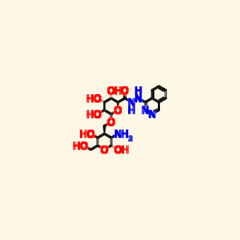 NC1[C@H](O)OC(CO)[C@@H](O)[C@H]1CO[C@@H]1OC(C(=O)NNc2nncc3ccccc23)[C@@H](O)[C@@H](O)C1O